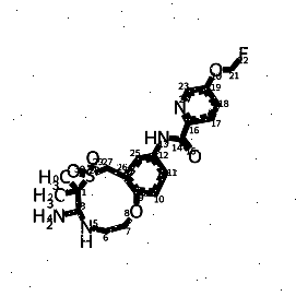 CC1(C)C(N)NCCOc2ccc(NC(=O)c3ccc(OCF)cn3)cc2CS1(=O)=O